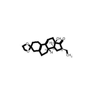 CC[C@H]1C[C@H]2[C@@H]3CCC4=C(CCC5(C4)OCCO5)C3=CC[C@]2(C)C1=O